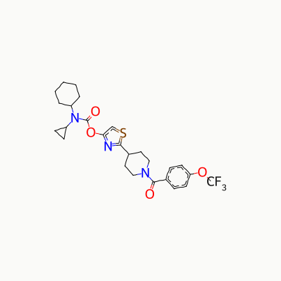 O=C(c1ccc(OC(F)(F)F)cc1)N1CCC(c2nc(OC(=O)N(C3CCCCC3)C3CC3)cs2)CC1